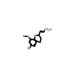 CCOC(=O)/C=C/C1CCc2cc(Br)cc(SF)c2O1